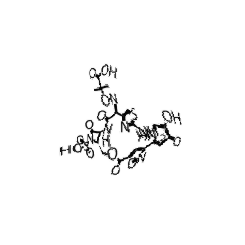 CC(C)(O/N=C(\C(=O)N[C@@H]1C(=O)N(S(=O)(=O)O)[C@@H]1COC(=O)c1cc(-c2cc(=O)c(O)c[nH]2)no1)c1csc(N)n1)C(=O)O